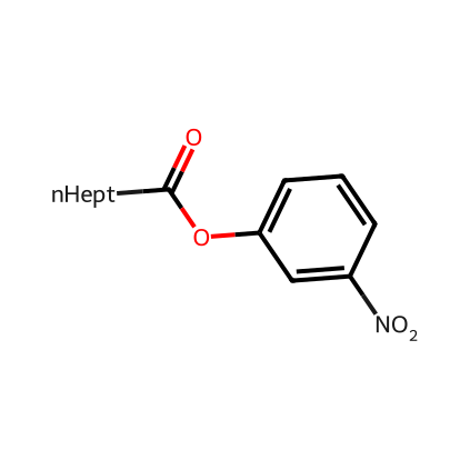 CCCCCCCC(=O)Oc1cccc([N+](=O)[O-])c1